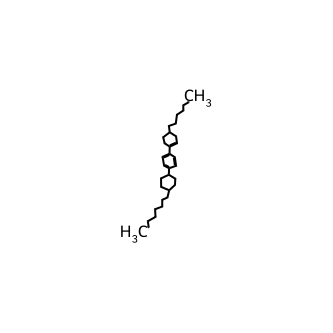 CCCCCCCCC1CCC(c2ccc(C3=CCC(CCCCCCC)CC3)cc2)CC1